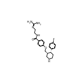 NC(N)=NCCNC(=O)c1ccc(OC[C@@H]2CNCC[C@H]2c2ccc(F)cc2)cc1